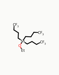 CC[O][Sn]([CH2]CCC(F)(F)F)([CH2]CCC(F)(F)F)[CH2]CCC(F)(F)F